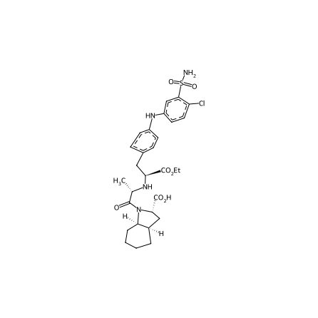 CCOC(=O)[C@H](Cc1ccc(Nc2ccc(Cl)c(S(N)(=O)=O)c2)cc1)N[C@@H](C)C(=O)N1[C@@H]2CCCC[C@@H]2C[C@H]1C(=O)O